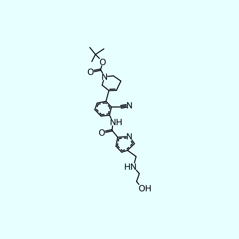 CC(C)(C)OC(=O)N1CCC=C(c2cccc(NC(=O)c3ccc(CNCCO)cn3)c2C#N)C1